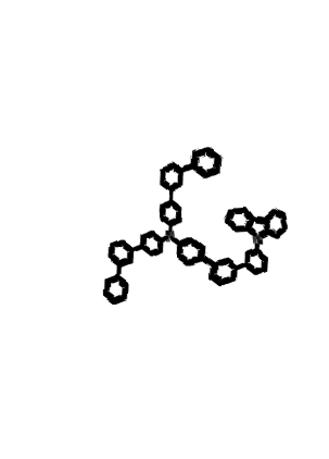 c1ccc(-c2cccc(-c3ccc(N(c4ccc(-c5cccc(-c6ccccc6)c5)cc4)c4ccc(-c5cccc(-c6cccc(-n7c8ccccc8c8ccccc87)c6)c5)cc4)cc3)c2)cc1